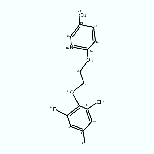 Cc1cc(F)c(OCCOc2ccc(C(C)(C)C)cn2)c(Cl)c1